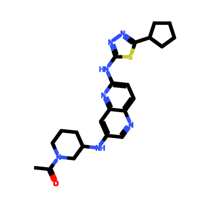 CC(=O)N1CCCC(Nc2cnc3ccc(Nc4nnc(C5CCCC5)s4)nc3c2)C1